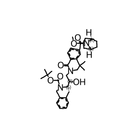 COC1C[C@H]2CC[C@@H](C1)N2C(=O)c1ccc2c(c1)C(C)(C)CN(C[C@@H](O)[C@@H]1Cc3ccccc3CN1C(=O)OC(C)(C)C)C2=O